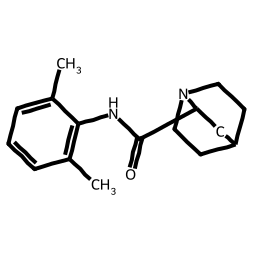 Cc1cccc(C)c1NC(=O)C1CC2CCN1CC2